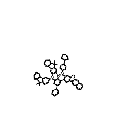 CC1(C)c2ccccc2-c2cc(N3c4cc5c(cc4B4c6c(cc(-c7ccccc7)cc63)-c3cc6c(cc3N4c3ccc(-c4ccccc4)cc3)oc3cc4ccccc4cc36)C(C)(C)c3ccccc3-5)ccc21